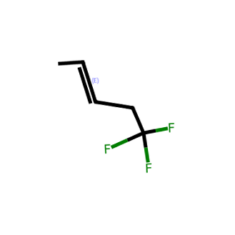 C/C=C/CC(F)(F)F